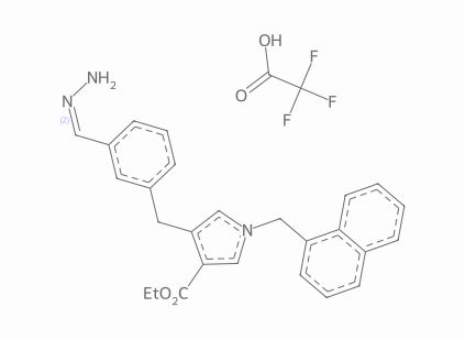 CCOC(=O)c1cn(Cc2cccc3ccccc23)cc1Cc1cccc(/C=N\N)c1.O=C(O)C(F)(F)F